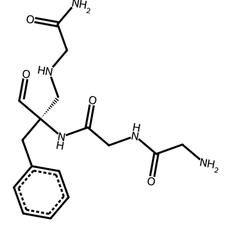 NCC(=O)NCC(=O)N[C@@](C=O)(CNCC(N)=O)Cc1ccccc1